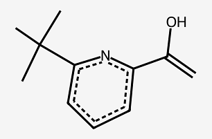 C=C(O)c1cccc(C(C)(C)C)n1